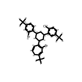 CC(C)(C)C1=CC(Br)=C(C2CC(c3cc(C(C)(C)C)ccc3Cl)CC(c3ccc(C(C)(C)C)cc3Br)C2)C=CC1